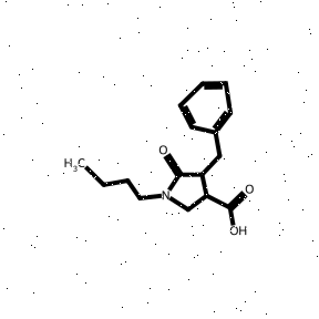 CCCCN1CC(C(=O)O)C(Cc2ccccc2)C1=O